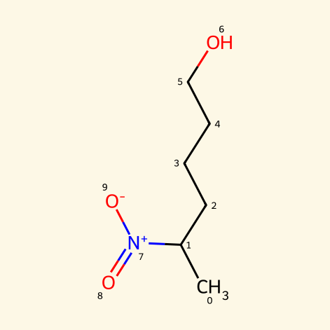 CC(CCCCO)[N+](=O)[O-]